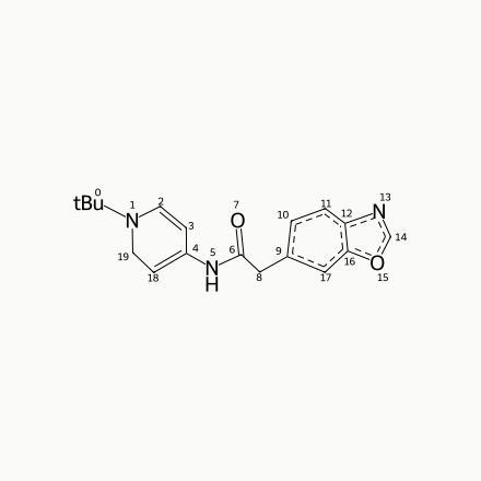 CC(C)(C)N1C=CC(NC(=O)Cc2ccc3ncoc3c2)=CC1